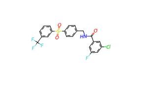 O=C(NCc1ccc(S(=O)(=O)c2cccc(C(F)(F)F)c2)cc1)c1cc(F)cc(Cl)c1